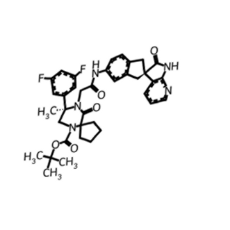 CC(C)(C)OC(=O)N1C[C@@](C)(c2cc(F)cc(F)c2)N(CC(=O)Nc2ccc3c(c2)C[C@@]2(C3)C(=O)Nc3ncccc32)C(=O)C12CCCC2